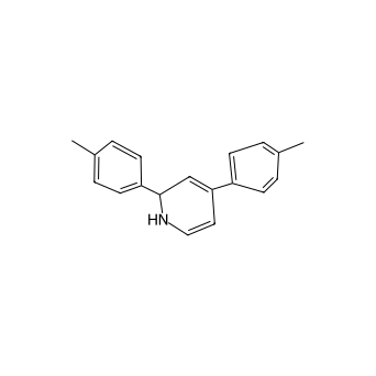 Cc1ccc(C2=CC(c3ccc(C)cc3)NC=C2)cc1